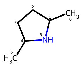 CC1CCC(C)N1